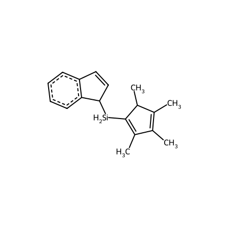 CC1=C(C)C(C)C([SiH2]C2C=Cc3ccccc32)=C1C